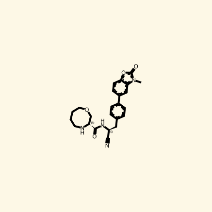 Cn1c(=O)oc2ccc(-c3ccc(C[C@@H](C#N)NC(=O)[C@H]4COCCCCN4)cc3)cc21